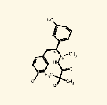 C[C@H](NC(=O)C(C)(C)Br)[C@@H](Cc1ccc(Cl)cc1)c1cccc(C#N)c1